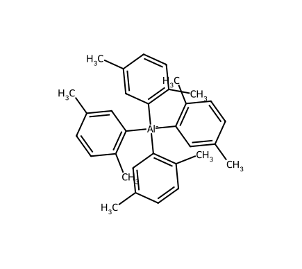 Cc1ccc(C)[c]([Al-]([c]2cc(C)ccc2C)([c]2cc(C)ccc2C)[c]2cc(C)ccc2C)c1